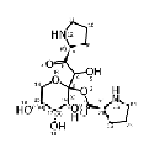 O=C(OC1(C(O)C(=O)[C@@H]2CCCN2)OC[C@@H](O)[C@@H](O)[C@@H]1O)[C@@H]1CCCN1